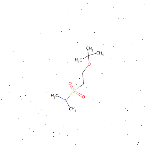 CN(C)S(=O)(=O)CCOC(C)(C)C